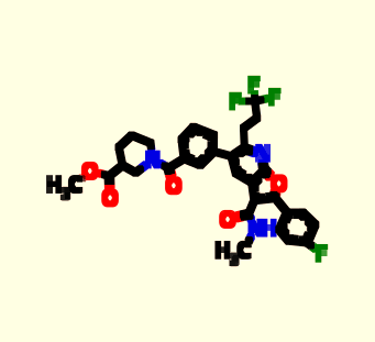 CNC(=O)c1c(-c2ccc(F)cc2)oc2nc(CCC(F)(F)F)c(-c3cccc(C(=O)N4CCCC(C(=O)OC)C4)c3)cc12